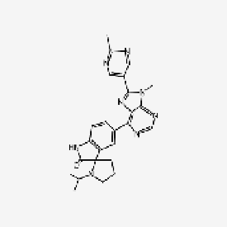 Cc1ncc(-c2nc3c(-c4ccc5c(c4)C4(CCCN4C(C)C)C(=O)N5)ncnc3n2C)cn1